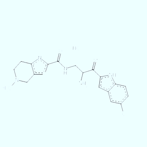 CN1CCc2nc(C(=O)NCC(N)C(=O)c3cc4cc(Cl)ccc4[nH]3)sc2C1.Cl